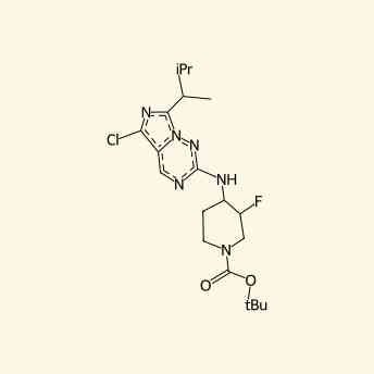 CC(C)C(C)c1nc(Cl)c2cnc(NC3CCN(C(=O)OC(C)(C)C)CC3F)nn12